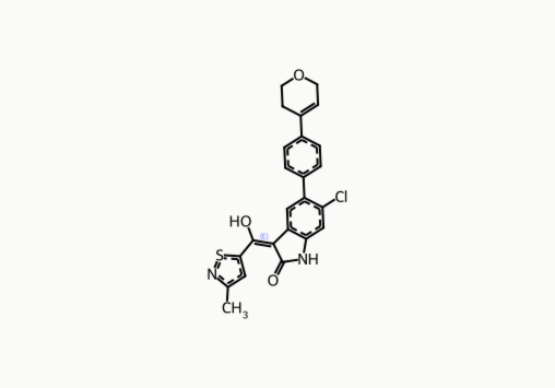 Cc1cc(/C(O)=C2\C(=O)Nc3cc(Cl)c(-c4ccc(C5=CCOCC5)cc4)cc32)sn1